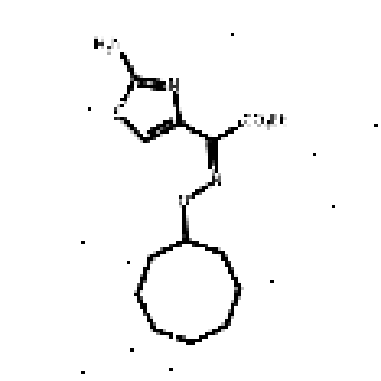 CCOC(=O)C(=NOC1CCCCCCC1)c1csc(N)n1